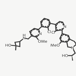 COc1cc(-c2nccc(-c3cccc(-c4ccc(CNC5CC(C)(O)C5)c(OC)n4)c3Cl)c2Cl)cc2c1CN(C[C@@H](C)O)CC2